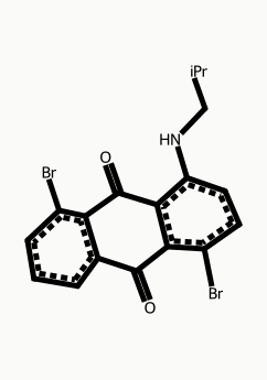 CC(C)CNc1ccc(Br)c2c1C(=O)c1c(Br)cccc1C2=O